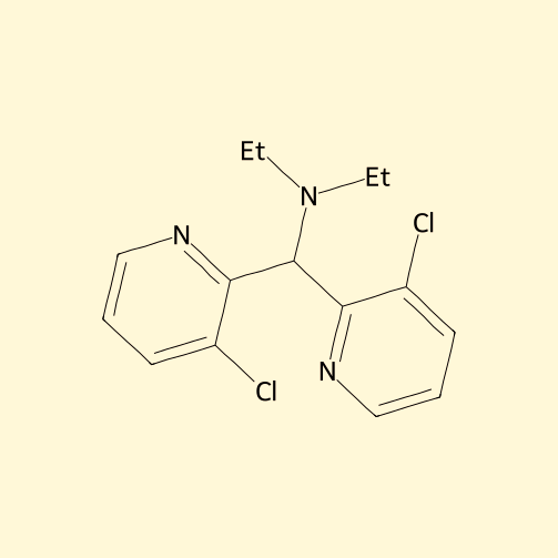 CCN(CC)C(c1ncccc1Cl)c1ncccc1Cl